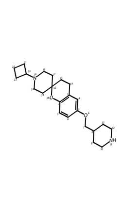 c1cc2c(cc1OCC1CCNCC1)CCC1(CCN(C3CCC3)CC1)O2